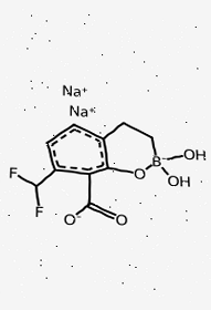 O=C([O-])c1c(C(F)F)ccc2c1O[B-](O)(O)CC2.[Na+].[Na+]